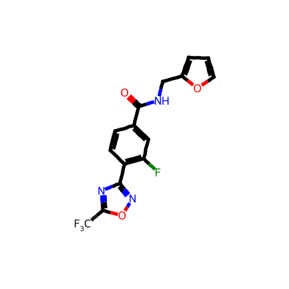 O=C(NCc1ccco1)c1ccc(-c2noc(C(F)(F)F)n2)c(F)c1